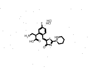 Cl.Cl.NCC(C(=O)O)c1cc(F)ccc1C=C1SC(N2CCCCN2)=NC1=O